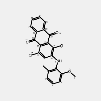 COc1cccc(C)c1Nc1cc(Cl)c2c(c1Cl)C(=O)c1ccccc1C2=O